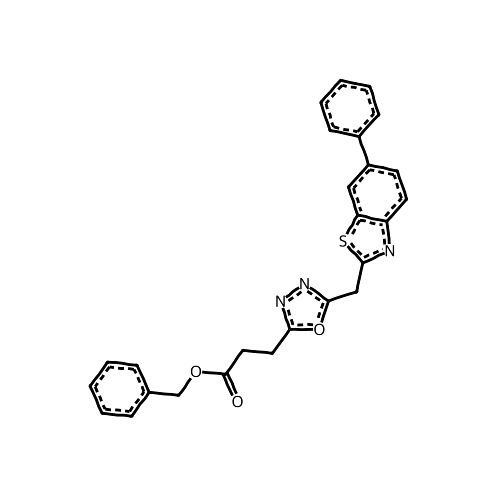 O=C(CCc1nnc(Cc2nc3ccc(-c4ccccc4)cc3s2)o1)OCc1ccccc1